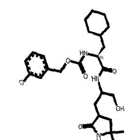 CC1(C)CC(CC(CO)NC(=O)[C@H](CC2CCCCC2)NC(=O)OCc2cccc(Cl)c2)C(=O)N1